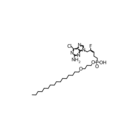 CCCCCCCCCCCCCCCCOCCCOP(=O)(O)CC/C=C(/F)Cn1cnc2c(Cl)nc(N)nc21